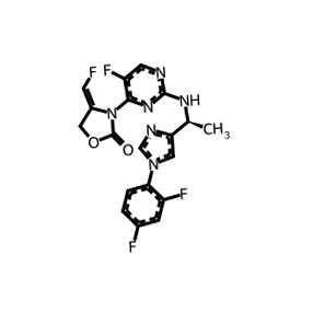 C[C@H](Nc1ncc(F)c(N2C(=O)OC/C2=C/F)n1)c1cn(-c2ccc(F)cc2F)cn1